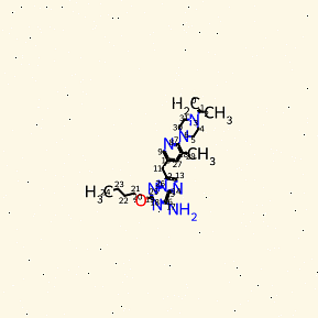 C=C(C)N1CCN(c2ncc(Cc3cnc4c(N)nc(OCCCC)nn34)cc2C)CC1